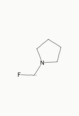 F[CH]N1CCCC1